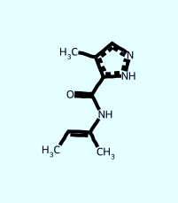 CC=C(C)NC(=O)c1[nH]ncc1C